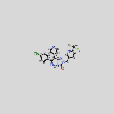 CC(F)(F)c1ccc(Cn2nc3c(-c4ccncc4)c(-c4ccc(Cl)cc4)ncn3c2=O)cn1